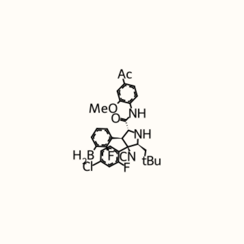 Bc1cccc([C@H]2[C@H](C(=O)Nc3ccc(C(C)=O)cc3OC)N[C@@H](CC(C)(C)C)[C@]2(C#N)c2ccc(Cl)cc2F)c1F